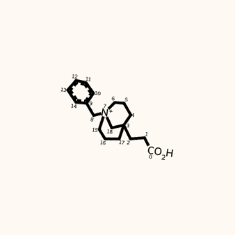 O=C(O)C[CH]C12CCC[N+](Cc3ccccc3)(CCC1)C2